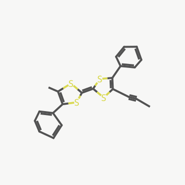 CC#CC1=C(c2ccccc2)S/C(=C2\SC(C)=C(c3ccccc3)S2)S1